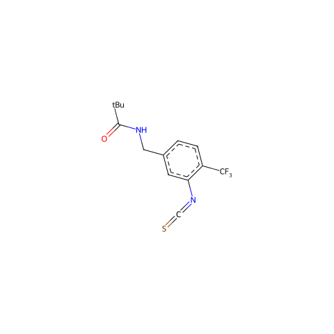 CC(C)(C)C(=O)NCc1ccc(C(F)(F)F)c(N=C=S)c1